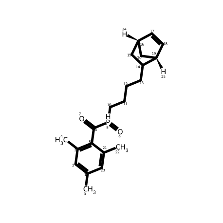 Cc1cc(C)c(C(=O)[PH](=O)CCCCC2C[C@@H]3C=C[C@H]2C3)c(C)c1